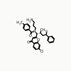 Cc1ccc(C(=O)N(CCCN)[C@@H](c2cc(=O)c3ccc(Cl)cc3o2)C(C)CC(I)c2ccccc2)cc1